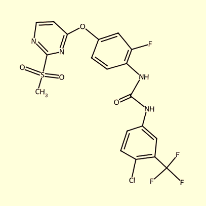 CS(=O)(=O)c1nccc(Oc2ccc(NC(=O)Nc3ccc(Cl)c(C(F)(F)F)c3)c(F)c2)n1